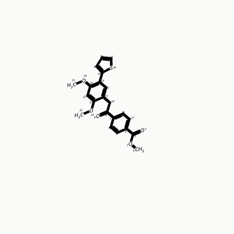 COC(=O)c1ccc(C(=O)Cc2cc(-c3cccs3)c(OC)cc2OC)cc1